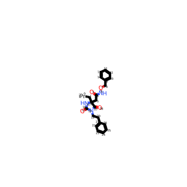 CC(C)CC1(CC(=O)NOCc2ccccc2)NC(=O)N(CCc2ccccc2)C1=O